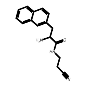 N#CCCNC(=O)C(N)Cc1ccc2ccccc2c1